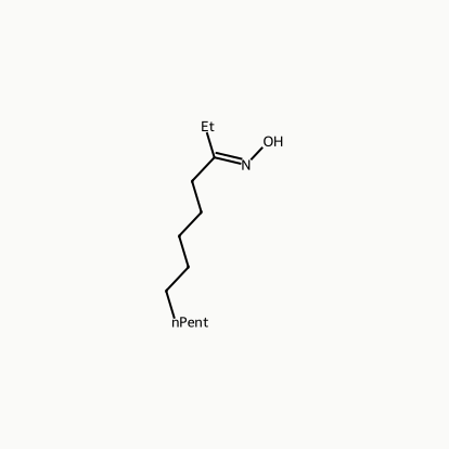 CCCCCCCCCCC(CC)=NO